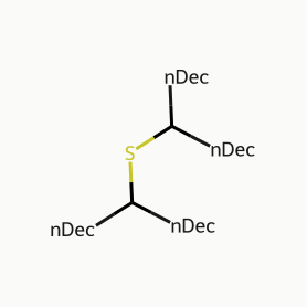 CCCCCCCCCCC(CCCCCCCCCC)SC(CCCCCCCCCC)CCCCCCCCCC